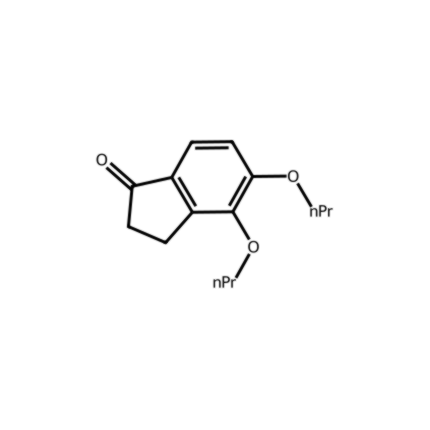 CCCOc1ccc2c(c1OCCC)CCC2=O